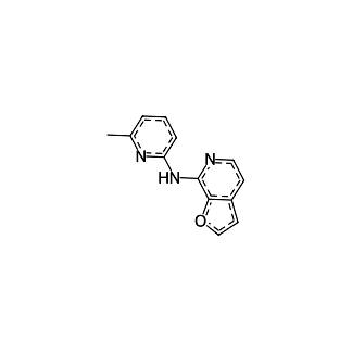 Cc1cccc(Nc2nccc3ccoc23)n1